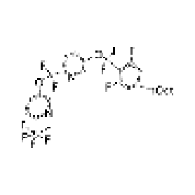 CCCCCCCCc1cc(F)c(C(F)(F)Oc2ccc(C(F)(F)Oc3ccc(S(F)(F)(F)(F)F)nc3)nc2)c(F)c1